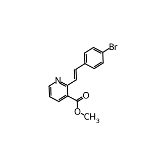 COC(=O)c1cccnc1C=Cc1ccc(Br)cc1